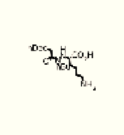 CCCCCCCCCCCC(=O)N(CCCC)N[C@@H](CCCCN)C(=O)O